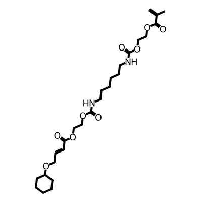 C=C(C)C(=O)OCCOC(=O)NCCCCCCNC(=O)OCCOC(=O)C=CCOC1CCCCC1